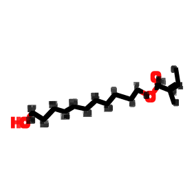 CC=C(C)C(=O)OCCCCCCCCCCCO